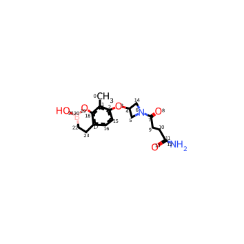 Cc1c(OC2CN(C(=O)CCC(N)=O)C2)ccc2c1OB(O)CC2